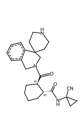 N#CC1(NC(=O)[C@@H]2CCCC[C@H]2C(=O)N2Cc3ccccc3C3(CCNCC3)C2)CC1